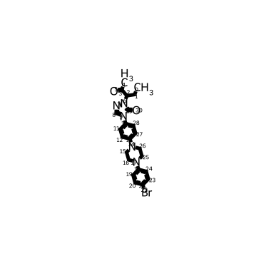 CCC(C(C)=O)n1ncn(-c2ccc(N3CCN(c4ccc(Br)cc4)CC3)cc2)c1=O